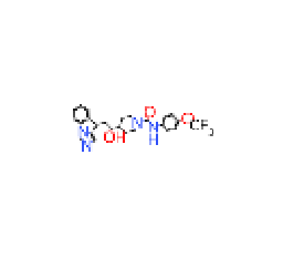 O=C(Nc1ccc(OC(F)(F)F)cc1)N1CCC(C(O)CC2c3ccccc3-n3cncc32)CC1